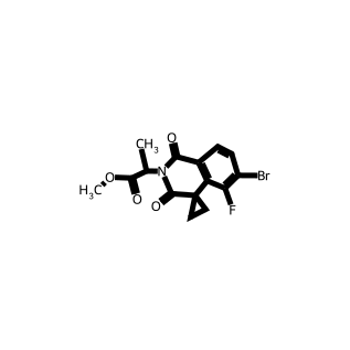 COC(=O)C(C)N1C(=O)c2ccc(Br)c(F)c2C2(CC2)C1=O